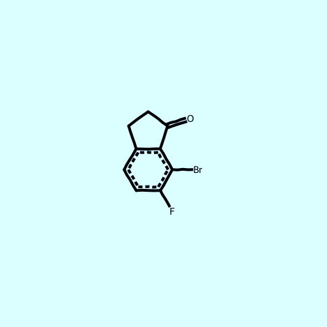 O=C1CCc2ccc(F)c(Br)c21